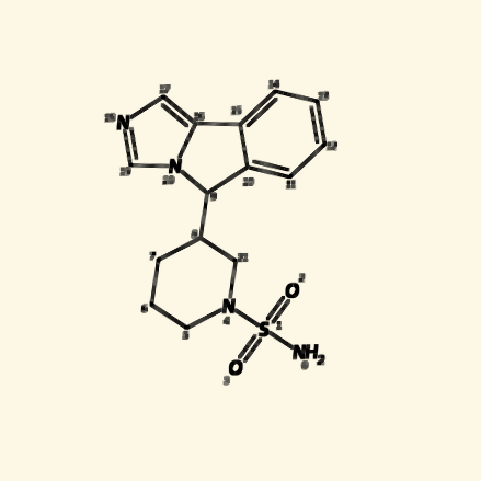 NS(=O)(=O)N1CCCC(C2c3ccccc3-c3cncn32)C1